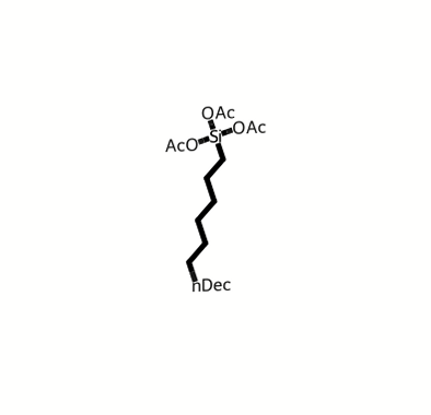 CCCCCCCCCCCCCCCC[Si](OC(C)=O)(OC(C)=O)OC(C)=O